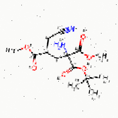 COC(=O)C(CC#N)CC(N)(C(=O)OC)C(=O)OC(C)(C)C